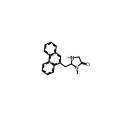 CN1C(=O)CNC1Cc1cc2ccccc2c2ccccc12